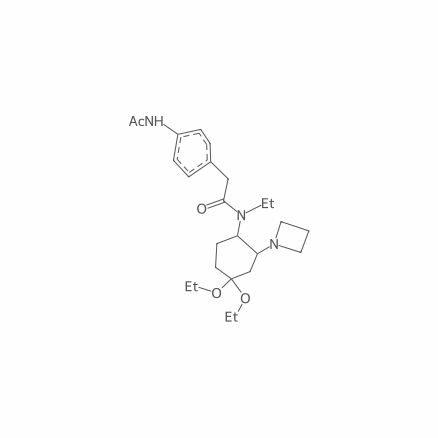 CCOC1(OCC)CCC(N(CC)C(=O)Cc2ccc(NC(C)=O)cc2)C(N2CCC2)C1